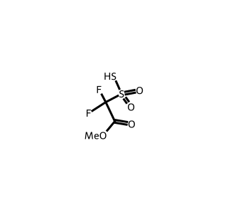 COC(=O)C(F)(F)S(=O)(=O)S